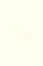 OCC1CC(O)CC(Oc2cc(O)cc(/C=C\c3ccc(O)cc3O)c2)O1